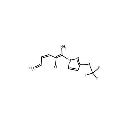 C=C/C=C\C(Cl)=C(/N)n1ccc(SC(F)(F)F)n1